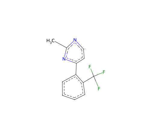 Cc1n[c]cc(-c2ccccc2C(F)(F)F)n1